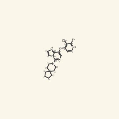 Fc1nccc(Sc2cnc(N3CCC4(CCCC4)CC3)n3ccnc23)c1Cl